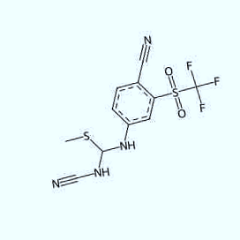 CSC(NC#N)Nc1ccc(C#N)c(S(=O)(=O)C(F)(F)F)c1